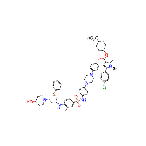 CCn1c(C)c(C(=O)OC2CCC(C(=O)O)CC2)c(-c2cccc(N3CCN(c4ccc(NS(=O)(=O)c5ccc(N[C@H](CCN6CCC(O)CC6)CSc6ccccc6)c(C)c5)cc4)CC3)c2)c1-c1ccc(Cl)cc1